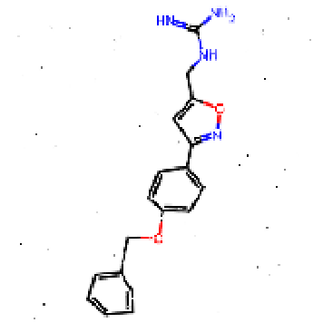 N=C(N)NCc1cc(-c2ccc(OCc3ccccc3)cc2)no1